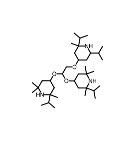 CC(C)C1CC(OCC(OC2CC(C)(C)NC(C)(C(C)C)C2)OC2CC(C)(C)NC(C)(C(C)C)C2)CC(C)(C(C)C)N1